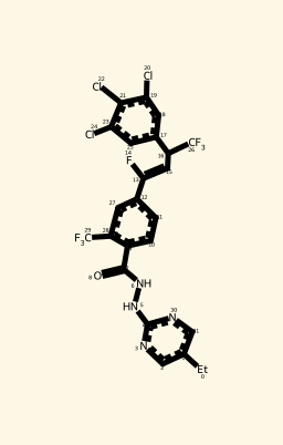 CCc1cnc(NNC(=O)c2ccc(C(F)=CC(c3cc(Cl)c(Cl)c(Cl)c3)C(F)(F)F)cc2C(F)(F)F)nc1